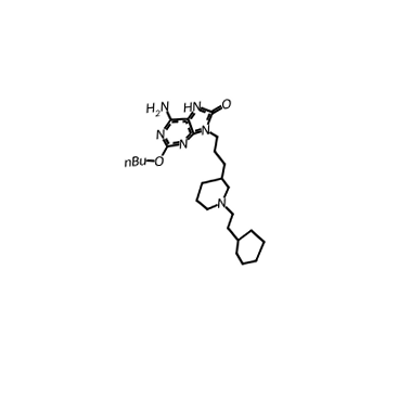 CCCCOc1nc(N)c2[nH]c(=O)n(CCCC3CCCN(CCC4CCCCC4)C3)c2n1